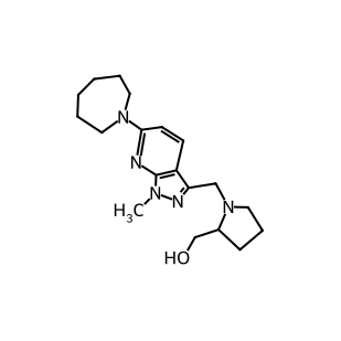 Cn1nc(CN2CCCC2CO)c2ccc(N3CCCCCC3)nc21